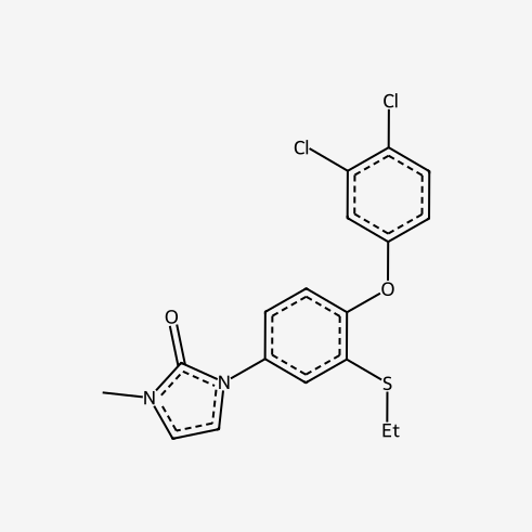 CCSc1cc(-n2ccn(C)c2=O)ccc1Oc1ccc(Cl)c(Cl)c1